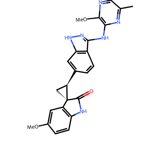 COc1ccc2c(c1)[C@]1(C[C@H]1c1ccc3c(Nc4nc(C)cnc4OC)n[nH]c3c1)C(=O)N2